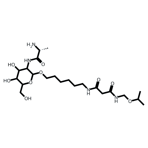 CC(C)OCNC(=O)CC(=O)NCCCCCCOC1OC(CO)C(O)C(O)C1NC(=O)[C@@H](C)N